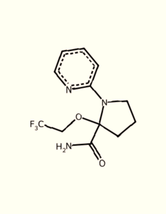 NC(=O)C1(OCC(F)(F)F)CCCN1c1ccccn1